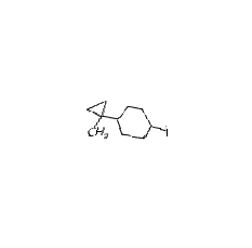 CC1(C2CCC(I)CC2)CC1